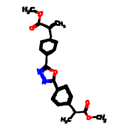 COC(=O)C(C)c1ccc(-c2nnc(-c3ccc(C(C)C(=O)OC)cc3)o2)cc1